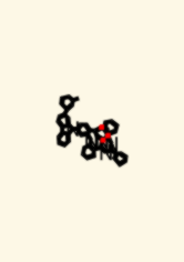 CC1C=C(c2ccc3c4ccccc4n(-c4ccc5c6ccccc6n(C6=C(c7nc(-c8ccccc8)nc(-c8ccccc8)n7)C=CCC6)c5c4)c3c2)C=CC1